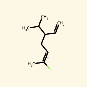 C=CC(C/C=C(\C)F)C(C)C